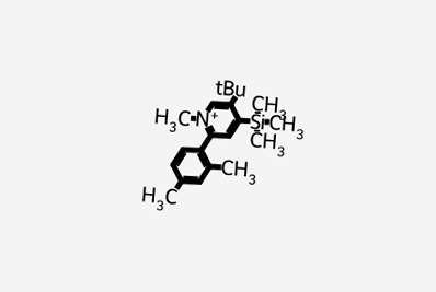 Cc1ccc(-c2cc([Si](C)(C)C)c(C(C)(C)C)c[n+]2C)c(C)c1